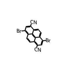 N#Cc1cc(Br)c2ccc3c(C#N)cc(Br)c4ccc1c2c43